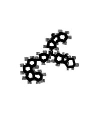 C1=Cc2c(sc3cc(N(c4ccc(-c5ccc6ccc7ccc8ccccc8c7c6c5)cc4)c4ccc5sc6ccccc6c5c4)ccc23)CC1